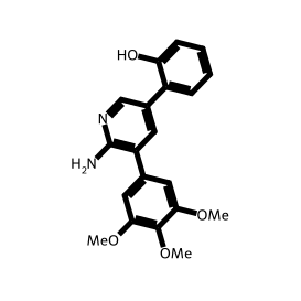 COc1cc(-c2cc(-c3ccccc3O)cnc2N)cc(OC)c1OC